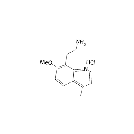 COc1ccc2c(C)ccnc2c1CCN.Cl